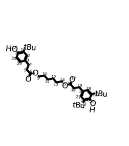 CC(C)(C)c1cc(CCC(=O)OCCCCCCOC(=O)CCc2cc(C(C)(C)C)c(O)c(C(C)(C)C)c2)ccc1O